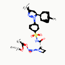 CCOC(=O)OC(C)On1on1N1CC[C@H]1C(=O)NS(=O)(=O)c1ccc(-n2nc(C(F)(F)F)cc2-c2ccc(C)cc2)cc1